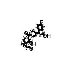 O=C1CO[C@H]2CCN(C(=O)N3CCC([C@@H](CCO)c4ccc(F)cc4)CC3)C[C@H]2N1